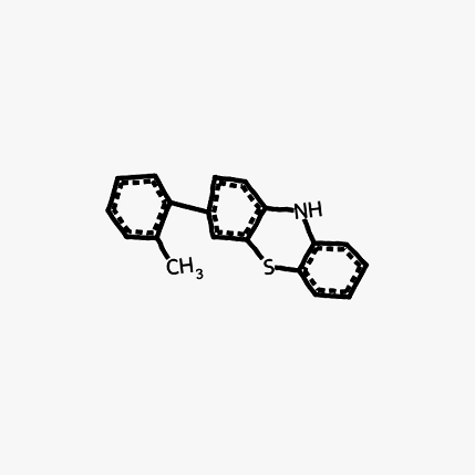 Cc1ccccc1-c1ccc2c(c1)Sc1ccccc1N2